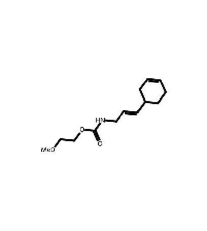 COCCOC(=O)NC/C=C/C1CC=CCC1